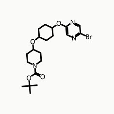 CC(C)(C)OC(=O)N1CCC(OC2CCC(Oc3cnc(Br)cn3)CC2)CC1